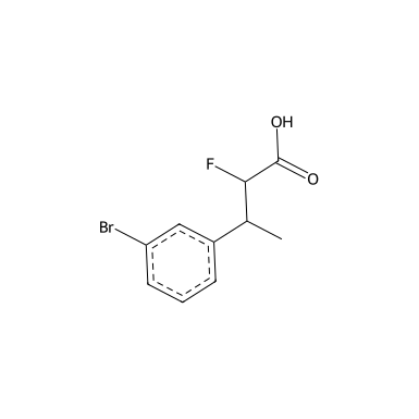 CC(c1cccc(Br)c1)C(F)C(=O)O